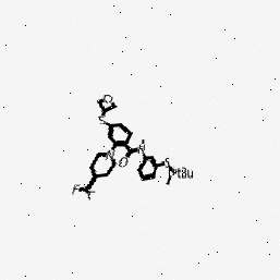 CN(C(=O)c1ccc(SC2COC2)cc1N1CCC(=C(F)F)CC1)c1cccc(SN(C)C(C)(C)C)c1